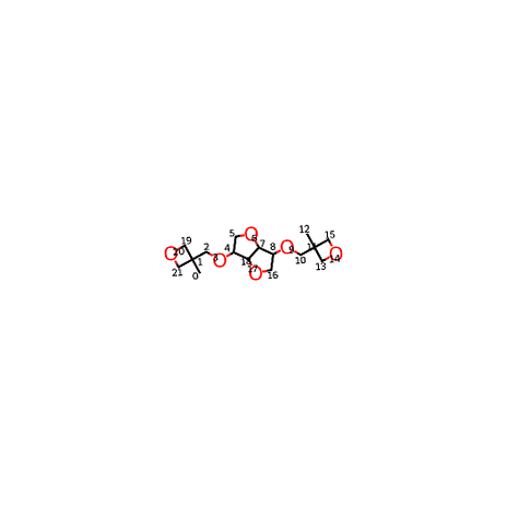 CC1(COC2COC3C(OCC4(C)COC4)COC23)COC1